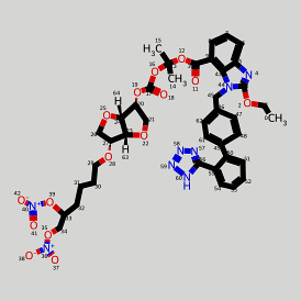 CCOc1nc2cccc(C(=O)OC(C)(C)OC(=O)O[C@@H]3CO[C@H]4[C@@H]3OC[C@H]4OCCCCC(CO[N+](=O)[O-])O[N+](=O)[O-])c2n1Cc1ccc(-c2ccccc2-c2nnn[nH]2)cc1